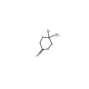 CCC1(C)CCC(=O)CC1